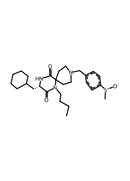 CCCCN1C(=O)[C@H](CC2CCCCC2)NC(=O)C12CCN(Cc1ccc([S+](C)[O-])cc1)CC2